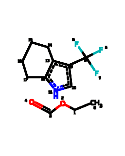 CCOC=O.FC(F)(F)c1c[nH]c2c1CCCC2